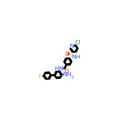 N=S(=O)(c1ccc(C(=O)Nc2cc(-c3ccc(F)cc3)ccc2N)cc1)c1ccc(Cl)nc1